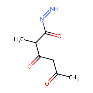 CC(=O)CC(=O)C(C)C(=O)N=N